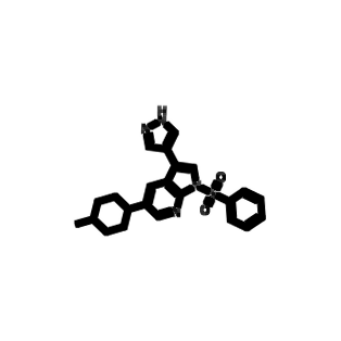 CC1CCC(c2cnc3c(c2)c(-c2cn[nH]c2)cn3S(=O)(=O)c2ccccc2)CC1